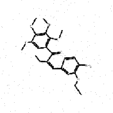 CCOc1cc(C=C(CC)C(=O)c2cc(OC)c(OC)c(OC)c2OC)ccc1N